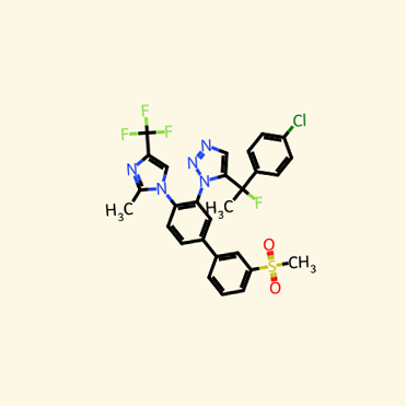 Cc1nc(C(F)(F)F)cn1-c1ccc(-c2cccc(S(C)(=O)=O)c2)cc1-n1nncc1C(C)(F)c1ccc(Cl)cc1